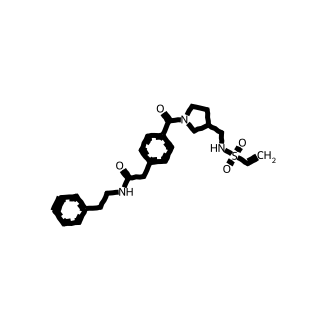 C=CS(=O)(=O)NCC1CCN(C(=O)c2ccc(CC(=O)NCCc3cc#ccc3)cc2)C1